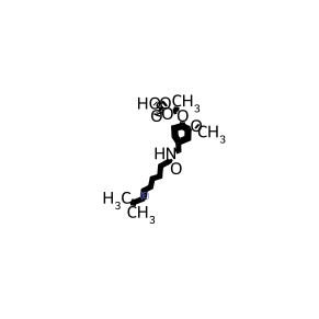 COc1cc(CNC(=O)CCCC/C=C/C(C)C)ccc1OC(C)OS(=O)(=O)O